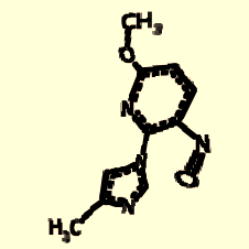 COc1ccc(N=O)c(-n2cnc(C)c2)n1